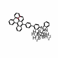 BC(B)(B)C(B)(B)c1nc2ccccc2n1-c1ccc(-c2ccc(-c3c4ccccc4c(-c4ccccc4-c4ccccc4)c4ccccc34)cc2)cc1